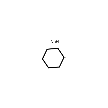 [CH]1CCCCC1.[NaH]